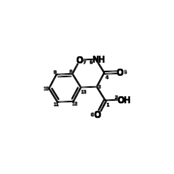 O=C(O)C1C(=O)NOc2ccccc21